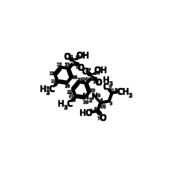 CC(C)C[C@H](N)C(=O)O.Cc1ccc(S(=O)(=O)O)cc1.Cc1ccc(S(=O)(=O)O)cc1